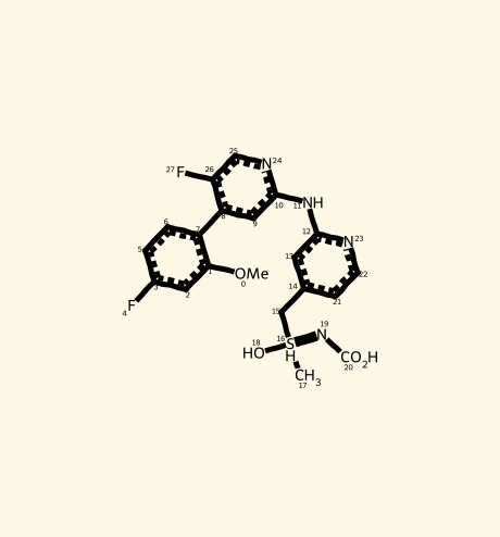 COc1cc(F)ccc1-c1cc(Nc2cc(C[SH](C)(O)=NC(=O)O)ccn2)ncc1F